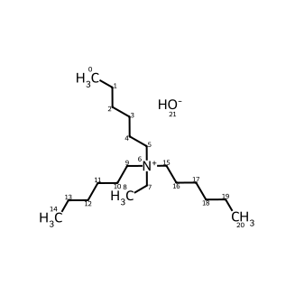 CCCCCC[N+](CC)(CCCCCC)CCCCCC.[OH-]